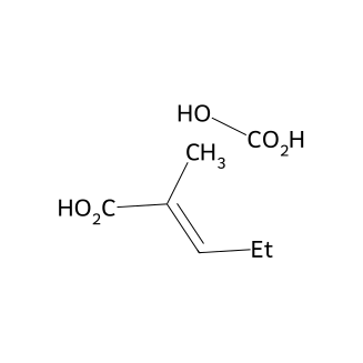 CCC=C(C)C(=O)O.O=C(O)O